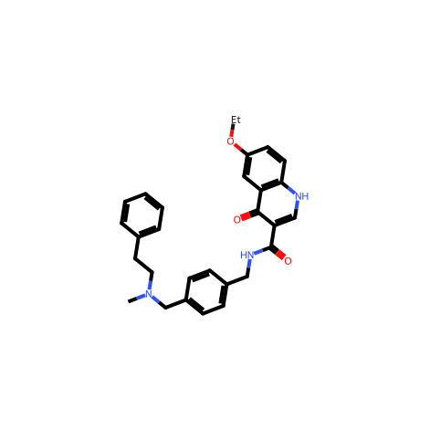 CCOc1ccc2[nH]cc(C(=O)NCc3ccc(CN(C)CCc4ccccc4)cc3)c(=O)c2c1